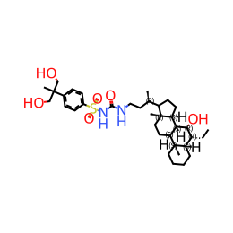 CC[C@H]1[C@@H](O)[C@@H]2[C@H](CC[C@]3(C)C([C@H](C)CCNC(=O)NS(=O)(=O)c4ccc(C(C)(CO)CO)cc4)CC[C@@H]23)[C@@]2(C)CCCC[C@@H]12